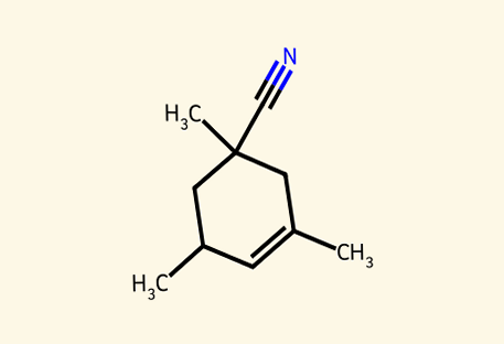 CC1=CC(C)CC(C)(C#N)C1